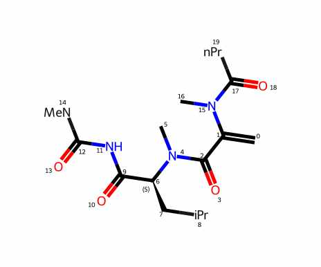 C=C(C(=O)N(C)[C@@H](CC(C)C)C(=O)NC(=O)NC)N(C)C(=O)CCC